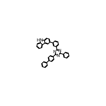 c1ccc(-c2ccc(-c3nc(-c4ccccc4)nc(-c4cccc(-c5ccc6[nH]c7ccccc7c6c5)c4)n3)cc2)cc1